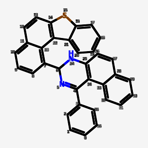 c1ccc(C2=NC(c3cccc4ccc5sc6ccccc6c5c34)Nc3ccc4ccccc4c32)cc1